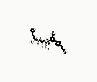 CN(CC(O)CNC(C)(C)CCCc1ccsc1)S(=O)(=O)c1cc(-c2ccc(CCC(=O)O)cc2)cc(C(F)(F)F)c1